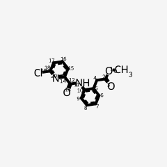 COC(=O)Cc1ccccc1NC(=O)c1cccc(Cl)n1